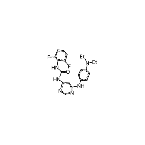 CCN(CC)c1ccc(Nc2cc(NC(=O)Nc3c(F)cccc3F)ncn2)cc1